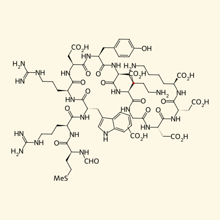 CSCC[C@H](NC=O)C(=O)N[C@@H](CCCNC(=N)N)C(=O)N[C@@H](Cc1c[nH]c2ccccc12)C(=O)N[C@@H](CCCNC(=N)N)C(=O)N[C@@H](CC(=O)O)C(=O)N[C@@H](Cc1ccc(O)cc1)C(=O)N[C@@H](CCCCN)C(=O)N[C@@H](CC(=O)O)C(=O)N[C@@H](CC(=O)O)C(=O)N[C@@H](CC(=O)O)C(=O)N[C@@H](CC(=O)O)C(=O)N[C@@H](CCCCN)C(=O)O